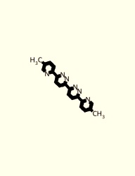 Cc1ccc(-c2ccc(-c3ccc(-c4ccc(C)cn4)nn3)nn2)nc1